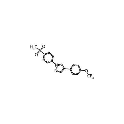 CS(=O)(=O)c1ccc(-n2cc(-c3ccc(OC(F)(F)F)cc3)cn2)cc1